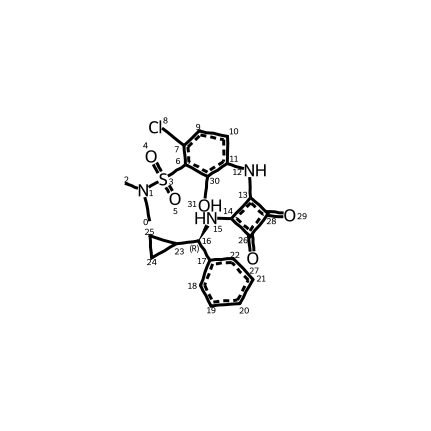 CN(C)S(=O)(=O)c1c(Cl)ccc(Nc2c(N[C@@H](c3ccccc3)C3CC3)c(=O)c2=O)c1O